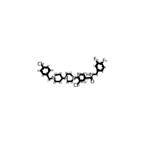 O=C(NCc1ccc(F)c(F)c1)c1cnc(N2CCN(C3CCN(Cc4ccc(Cl)cc4)CC3)CC2)c(Cl)c1